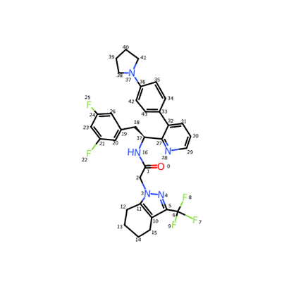 O=C(Cn1nc(C(F)(F)F)c2c1CCCC2)N[C@@H](Cc1cc(F)cc(F)c1)c1ncccc1-c1ccc(N2CCCC2)cc1